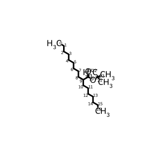 CCCCCCCCCC(CCCCCCC)C(=O)OC(C)(C)C